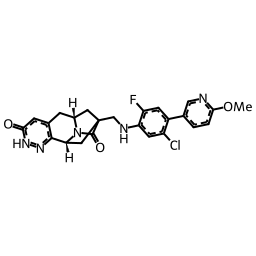 COc1ccc(-c2cc(F)c(NCC34C[C@H]5Cc6cc(=O)[nH]nc6[C@@H](C3)N5C4=O)cc2Cl)cn1